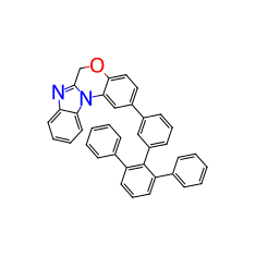 c1ccc(-c2cccc(-c3ccccc3)c2-c2cccc(-c3ccc4c(c3)-n3c(nc5ccccc53)CO4)c2)cc1